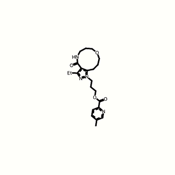 CCc1nn(CCCOC(=O)c2ccc(C)cn2)c2c1C(=O)NCCCOCCC2